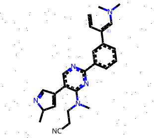 C=C/C(=C\N(C)C)c1cccc(-c2ncc(C3=CC(C)N=C3)c(N(C)CCC#N)n2)c1